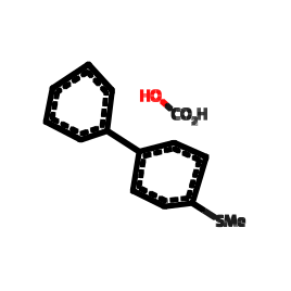 CSc1ccc(-c2ccccc2)cc1.O=C(O)O